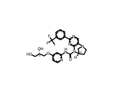 O=C(Nc1cc(OC[C@@H](O)CO)ccn1)N1c2nc(-c3cccc(C(F)(F)I)c3)ncc2N2CC[C@H]1C2